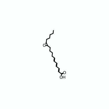 CCCCCC1OC1CCCCC=CC=CC=CC(=O)O